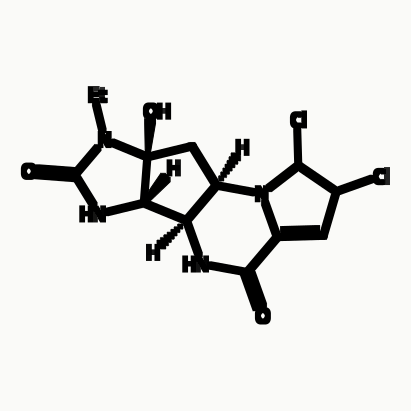 CCN1C(=O)N[C@H]2[C@@H]3NC(=O)C4=CC(Cl)C(Cl)N4[C@@H]3C[C@]21O